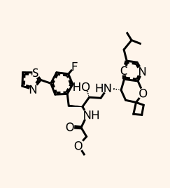 COCC(=O)N[C@@H](Cc1cc(F)cc(-c2nccs2)c1)[C@H](O)CN[C@H]1CC2(CCC2)Oc2ncc(CC(C)C)cc21